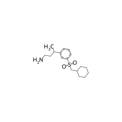 CC(CCN)c1cccc(S(=O)(=O)CC2CCCCC2)c1